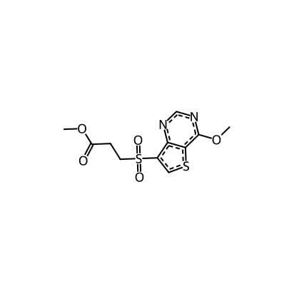 COC(=O)CCS(=O)(=O)c1csc2c(OC)ncnc12